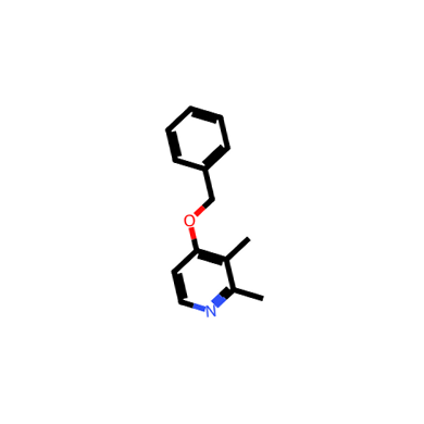 Cc1nccc(OCc2ccccc2)c1C